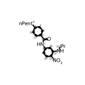 CCCCCc1ccc(C(=O)Nc2ccc([N+](=O)[O-])c(NC(C)C)c2)cc1